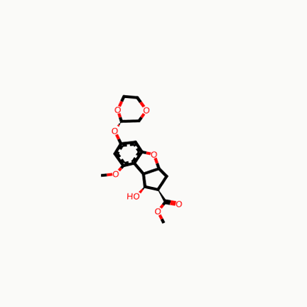 COC(=O)[C@@H]1CC2Oc3cc(O[C@H]4COCCO4)cc(OC)c3C2[C@@H]1O